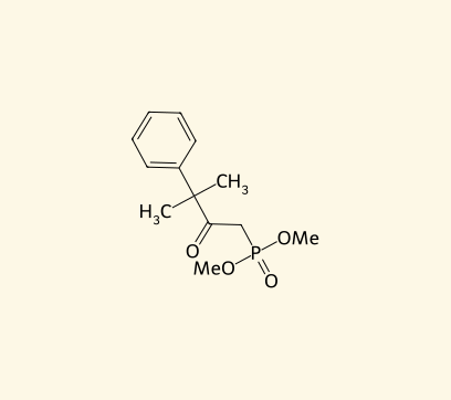 COP(=O)(CC(=O)C(C)(C)c1ccccc1)OC